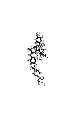 CCC(=O)N1CCN(C(=O)Oc2ccc(C[C@H](NC(=O)[C@H]3N(S(=O)(=O)c4ccc(C)cc4)CSC3(C)C)C(=O)O)cc2)CC1